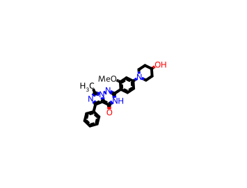 COc1cc(N2CCC(O)CC2)ccc1-c1nn2c(C)nc(-c3ccccc3)c2c(=O)[nH]1